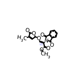 COC(=O)/C(=C/OC1C=C(C)C(=O)O1)N1C(=O)c2ccccc2C1=O